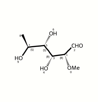 CO[C@@H](C=O)[C@H](O)[C@@H](O)[C@H](C)O